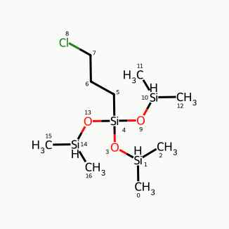 C[SiH](C)O[Si](CCCCl)(O[SiH](C)C)O[SiH](C)C